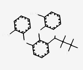 Nc1ccccc1Oc1cccc(C(F)C(F)(F)C(F)(F)F)c1Oc1ccccc1N